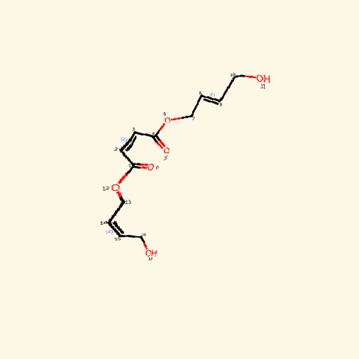 O=C(/C=C\C(=O)OC/C=C/CO)OC/C=C\CO